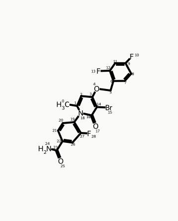 Cc1cc(OCc2ccc(F)cc2F)c(Br)c(=O)n1-c1ccc(C(N)=O)cc1F